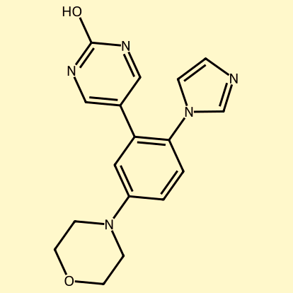 Oc1ncc(-c2cc(N3CCOCC3)ccc2-n2ccnc2)cn1